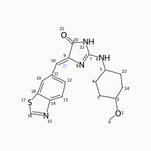 COC1CCC(NC2=N/C(=C\c3ccc4ncsc4c3)C(=O)N2)CC1